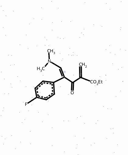 C=C(C(=O)OCC)C(=O)/C(=C/N(C)C)c1ccc(F)cc1